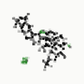 Cl.Cl.[CH2]=[Zr]([C]1=CC(C(C)(C)C)=CC1C(C)C)([C]1=C(C)c2cc3c(cc2C1(C)C)Cc1cc2c(cc1-3)C(C)=CC2(C)C)([c]1cccc(Cl)c1)[c]1cccc(Cl)c1